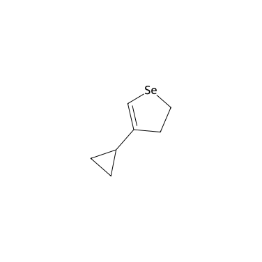 C1=C(C2CC2)CC[Se]1